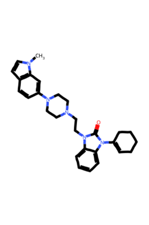 Cn1ccc2ccc(N3CCN(CCn4c(=O)n(C5=CCCCC5)c5ccccc54)CC3)cc21